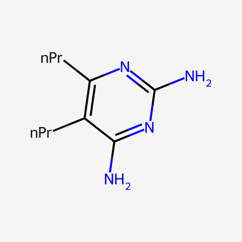 CCCc1nc(N)nc(N)c1CCC